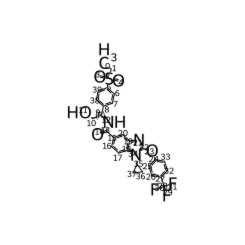 CCS(=O)(=O)c1ccc([C@H](CO)NC(=O)c2ccc3c(c2)nc(Oc2ccc(C(F)(F)F)cc2)n3C2CC2)cc1